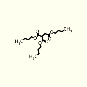 CCCCOC(=O)CC(C(=O)OCCCC)C(=O)OCCCC